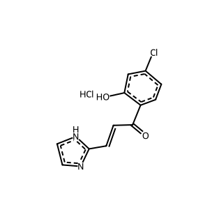 Cl.O=C(C=Cc1ncc[nH]1)c1ccc(Cl)cc1O